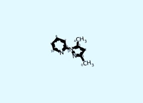 Cc1cc(C)n(-c2ccccn2)n1